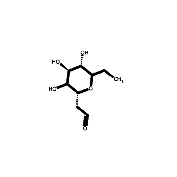 CCC1O[C@H](CC=O)C(O)[C@@H](O)[C@@H]1O